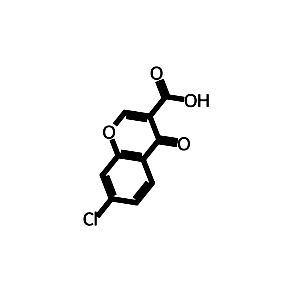 O=C(O)c1coc2cc(Cl)ccc2c1=O